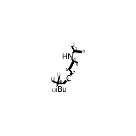 C=C(C)N/C(C)=C/C=C=CC(C)(C)C(C)CC